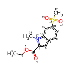 CCOC(=O)c1cc2ccc(S(C)(=O)=O)cc2n1C